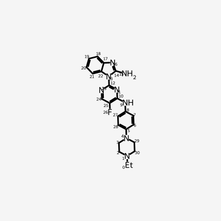 CCN1CCN(c2ccc(Nc3nc(-n4c(N)nc5ccccc54)ncc3F)cc2)CC1